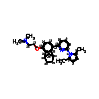 Cc1ccc(C)n1-c1cccc(-c2ccc(OCCN(C)C)c3c2C2CCC3C2)n1